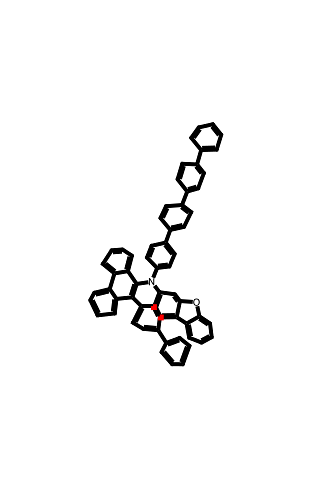 c1ccc(-c2ccc(-c3ccc(-c4ccc(N(c5ccc6c(c5)oc5ccccc56)c5c(-c6ccc(-c7ccccc7)cc6)c6ccccc6c6ccccc56)cc4)cc3)cc2)cc1